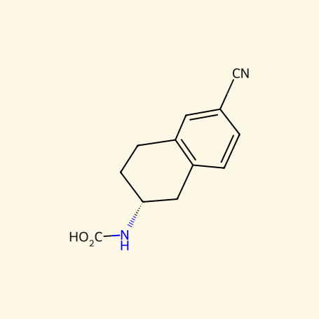 N#Cc1ccc2c(c1)CC[C@@H](NC(=O)O)C2